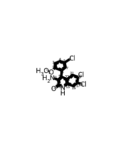 COc1ccc(Cl)cc1-c1c(N)c(=O)[nH]c2cc(Cl)c(Cl)cc12